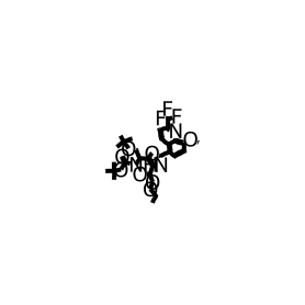 CCOOC(=O)c1nc(-c2ccc(OC)c3nc(C(F)(F)F)ccc23)oc1C(COC(C)(C)C)NC(=O)OC(C)(C)C